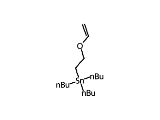 C=COC[CH2][Sn]([CH2]CCC)([CH2]CCC)[CH2]CCC